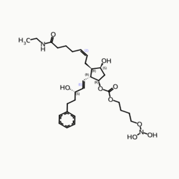 CCNC(=O)CCC/C=C\C[C@@H]1[C@@H](/C=C/[C@@H](O)CCc2ccccc2)[C@H](OC(=O)OCCCCON(O)O)C[C@@H]1O